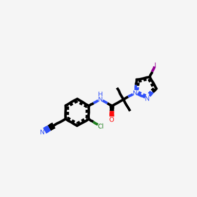 CC(C)(C(=O)Nc1ccc(C#N)cc1Cl)n1cc(I)cn1